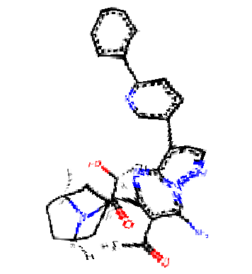 CC(=O)c1c([C@H]2C[C@H]3CC[C@@H](C2)N3C(=O)[C@@H](C)O)nc2c(-c3ccc(-c4ccccc4)nc3)cnn2c1N